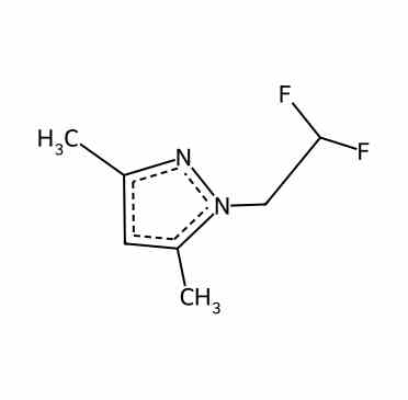 Cc1cc(C)n(CC(F)F)n1